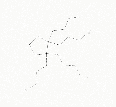 CCCCCCCCCCCCCC1(CCCCCCCCCCCCC)CCCC1(CCCCCCCCCCCCC)CCCCCCCCCCCCC